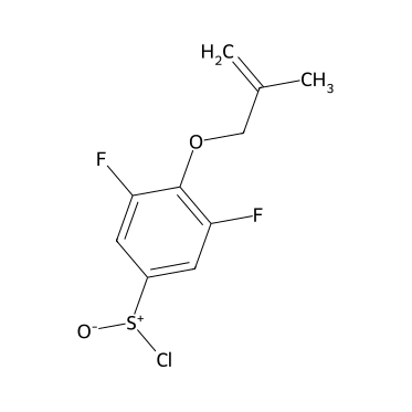 C=C(C)COc1c(F)cc([S+]([O-])Cl)cc1F